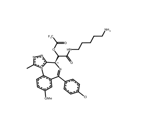 COc1ccc2c(c1)C(c1ccc(Cl)cc1)=N[C@H](C(OC(=O)C(F)(F)F)C(=O)NCCCCCN)c1nnc(C)n1-2